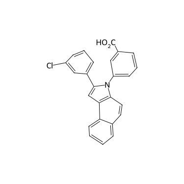 O=C(O)c1cccc(-n2c(-c3cccc(Cl)c3)cc3c4ccccc4ccc32)c1